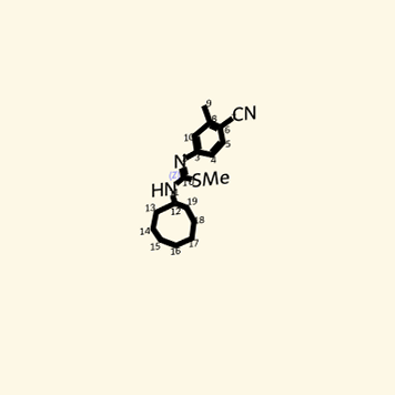 CS/C(=N\c1ccc(C#N)c(C)c1)NC1CCCCCCC1